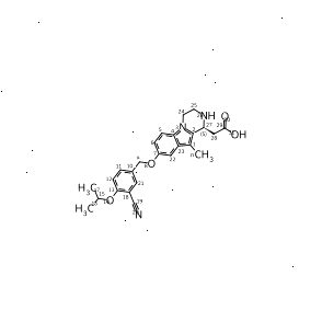 Cc1c2n(c3ccc(OCc4ccc(OC(C)C)c(C#N)c4)cc13)CCN[C@H]2CC(=O)O